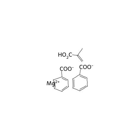 C=C(C)C(=O)O.O=C([O-])c1ccccc1.O=C([O-])c1ccccc1.[Mg+2]